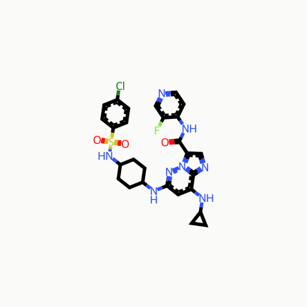 O=C(Nc1ccncc1F)c1cnc2c(NC3CC3)cc(NC3CCC(NS(=O)(=O)c4ccc(Cl)cc4)CC3)nn12